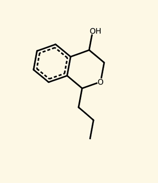 CCCC1OCC(O)c2ccccc21